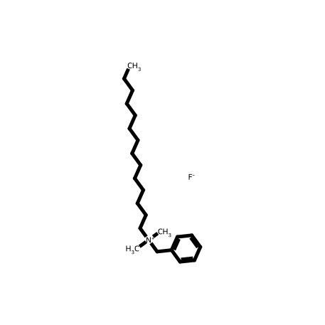 CCCCCCCCCCCCCC[N+](C)(C)Cc1ccccc1.[F-]